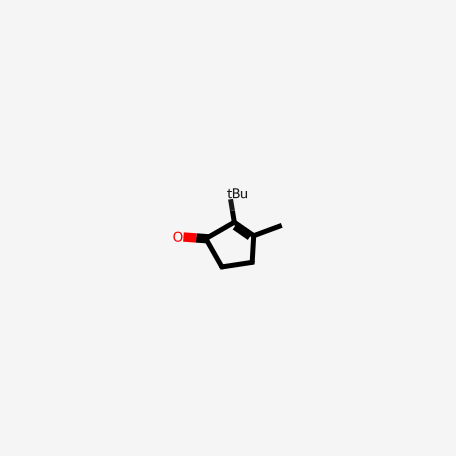 CC1=C(C(C)(C)C)C(=O)CC1